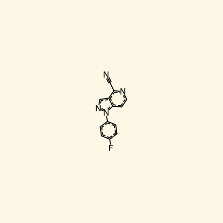 N#Cc1nccc2c1cnn2-c1ccc(F)cc1